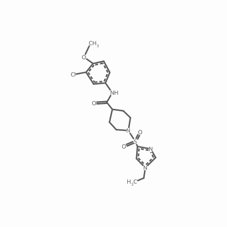 CCn1cnc(S(=O)(=O)N2CCC(C(=O)Nc3ccc(OC)c(Cl)c3)CC2)c1